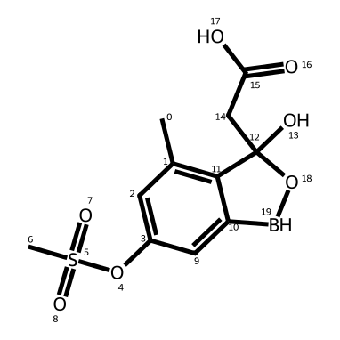 Cc1cc(OS(C)(=O)=O)cc2c1C(O)(CC(=O)O)OB2